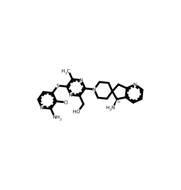 Cc1nc(N2CCC3(CC2)Cc2ncccc2[C@H]3N)c(CO)nc1Sc1ccnc(N)c1Cl